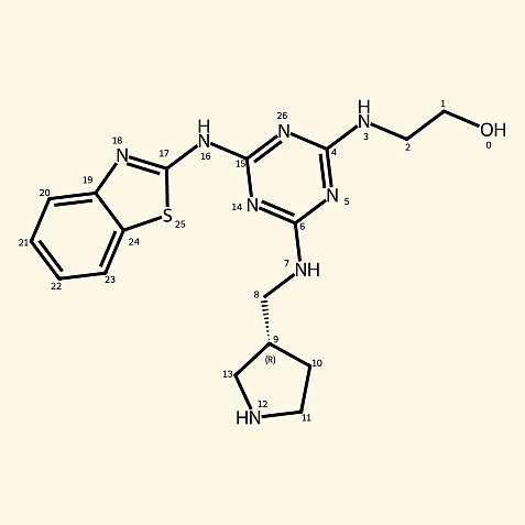 OCCNc1nc(NC[C@@H]2CCNC2)nc(Nc2nc3ccccc3s2)n1